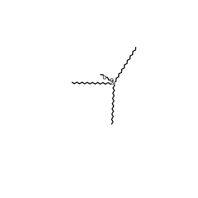 CCCCCCCCCCCCCCCC[Si](CCCCCCCCCCCCCCCC)(CCCCCCCCCCCCCCCC)OCCOCC